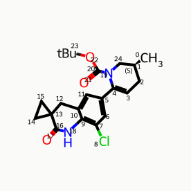 C[C@H]1CC=C(c2cc(Cl)c3c(c2)CC2(CC2)C(=O)N3)N(C(=O)OC(C)(C)C)C1